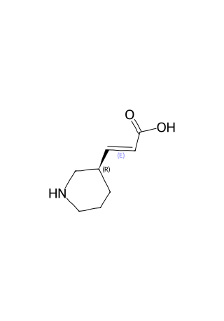 O=C(O)/C=C/[C@H]1CCCNC1